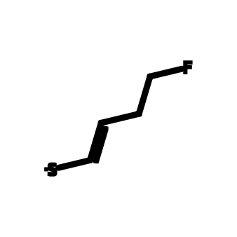 FCCC=C[S]